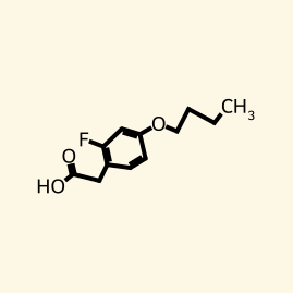 CCCCOc1ccc(CC(=O)O)c(F)c1